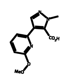 COOc1cccc(-c2cnn(C)c2C(=O)O)n1